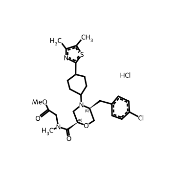 COC(=O)CN(C)C(=O)[C@H]1CN(C2CCC(c3nc(C)c(C)s3)CC2)[C@@H](Cc2ccc(Cl)cc2)CO1.Cl